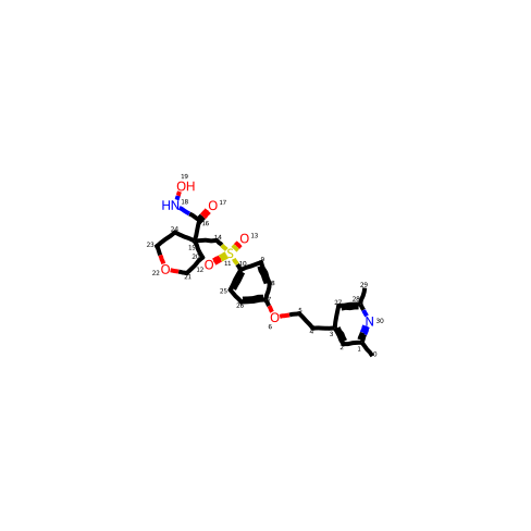 Cc1cc(CCOc2ccc(S(=O)(=O)CC3(C(=O)NO)CCOCC3)cc2)cc(C)n1